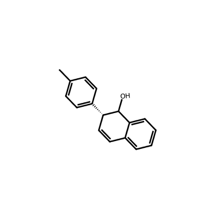 Cc1ccc([C@H]2C=Cc3ccccc3C2O)cc1